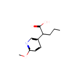 CCCC(C(=O)O)c1ccc(OC)nc1